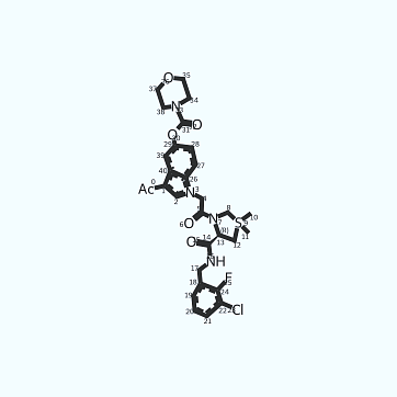 CC(=O)c1cn(CC(=O)N2CS(C)(C)C[C@H]2C(=O)NCc2cccc(Cl)c2F)c2ccc(OC(=O)N3CCOCC3)cc12